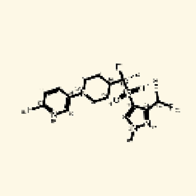 Cn1cc(S(=O)(=O)[C@](C)(F)C2CCN(c3ccc(F)nc3)CC2)c(C(F)F)n1